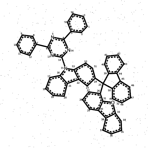 c1ccc(-c2nc(-c3ccccc3)nc(-n3c4ccccc4c4cc(C5(c6cccc7c6oc6ccccc67)c6ccccc6-c6ccccc65)ccc43)n2)cc1